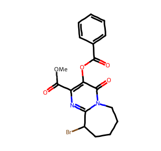 COC(=O)c1nc2n(c(=O)c1OC(=O)c1ccccc1)CCCCC2Br